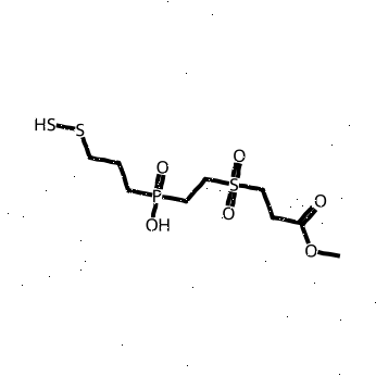 COC(=O)CCS(=O)(=O)CCP(=O)(O)CCCSS